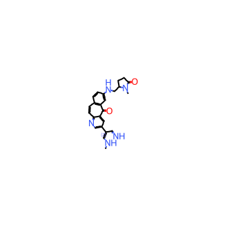 CN/C=C(\C=N)c1cnc2ccc3ccc(NCC4CCC(=O)N4C)cc3c(=O)c2c1